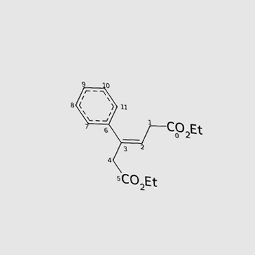 CCOC(=O)C/C=C(/CC(=O)OCC)c1ccccc1